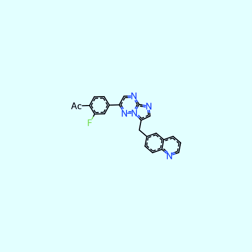 CC(=O)c1ccc(-c2cnc3ncc(Cc4ccc5ncccc5c4)n3n2)cc1F